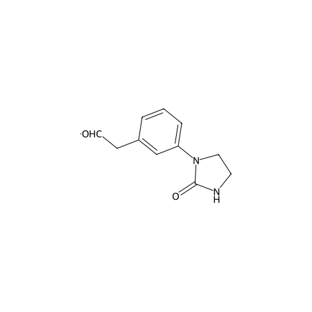 O=[C]Cc1cccc(N2CCNC2=O)c1